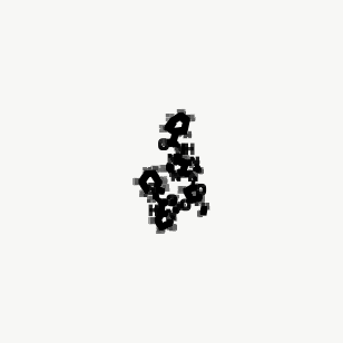 CC[C@H]1O[C@@H](n2cnc3c(NC(=O)c4ccccc4)ncnc32)C[C@H]1OP1O[C@H](C[Si]2(C)CCCCC2)[C@@H]2CCCN21